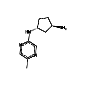 Cc1cnc(N[C@@H]2CC[C@@H](N)C2)cn1